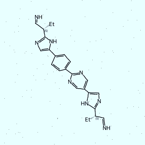 CC[C@@H](C=N)c1ncc(-c2ccc(-c3ncc(-c4cnc([C@H](C=N)CC)[nH]4)cn3)cc2)[nH]1